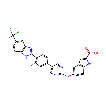 O=C(O)c1cc2cc(Oc3ncc(-c4ccc(-c5nc6cc(C(F)(F)F)ccc6[nH]5)c(F)c4)cn3)ccc2[nH]1